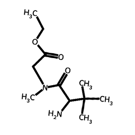 CCOC(=O)CN(C)C(=O)C(N)C(C)(C)C